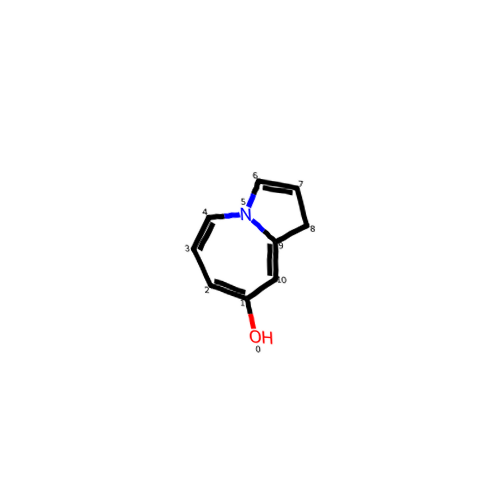 OC1=CC=CN2C=CCC2=C1